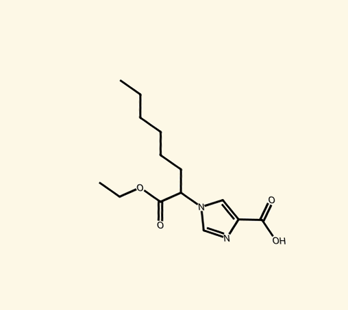 CCCCCCC(C(=O)OCC)n1cnc(C(=O)O)c1